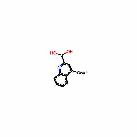 COc1cc(B(O)O)nc2ccccc12